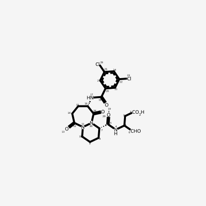 O=CC(CC(=O)O)NC(=O)[C@@H]1CCCN2C(=O)CC[C@H](NC(=O)c3cc(Cl)cc(Cl)c3)C(=O)N12